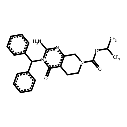 Nc1nc2c(c(=O)n1C(c1ccccc1)c1ccccc1)CCN(C(=O)OC(C(F)(F)F)C(F)(F)F)C2